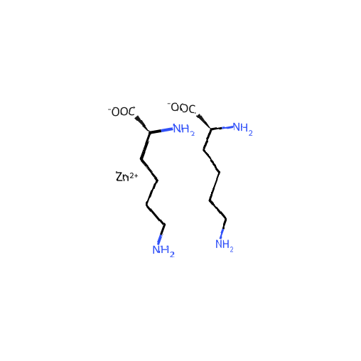 NCCCC[C@H](N)C(=O)[O-].NCCCC[C@H](N)C(=O)[O-].[Zn+2]